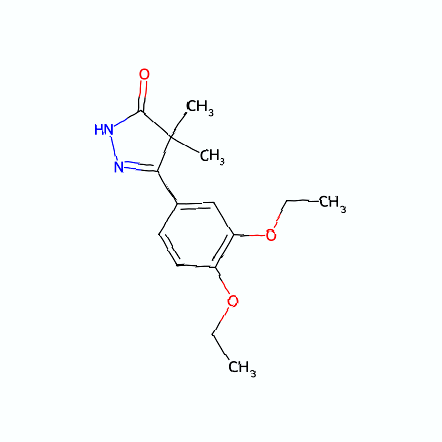 CCOc1ccc(C2=NNC(=O)C2(C)C)cc1OCC